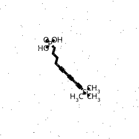 C[Si](C)(C)C#CC#CC#CCCCCP(=O)(O)O